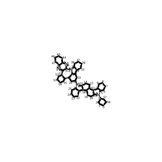 c1ccc(-n2c3ccccc3c3c4ccc5c(c4ccc32)c2ccccc2n5-c2cc3c4c(c2)c2ccccc2n4-c2nc4ccccc4nc2-c2ccccc2-3)cc1